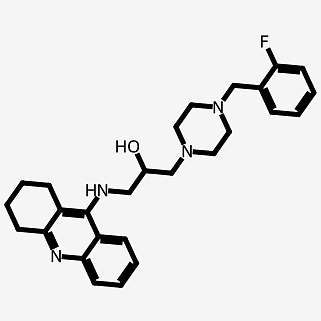 OC(CNc1c2c(nc3ccccc13)CCCC2)CN1CCN(Cc2ccccc2F)CC1